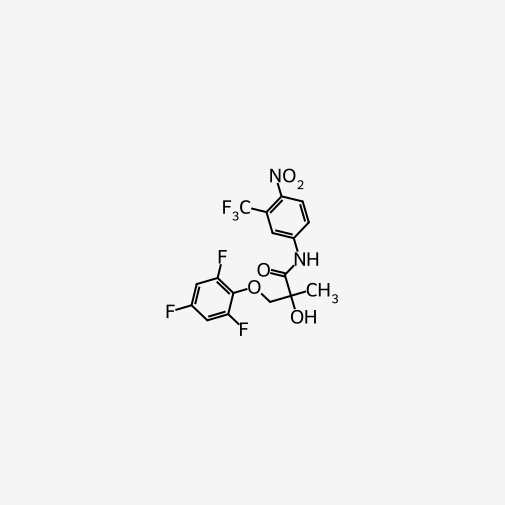 CC(O)(COc1c(F)cc(F)cc1F)C(=O)Nc1ccc([N+](=O)[O-])c(C(F)(F)F)c1